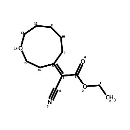 CCOC(=O)/C(C#N)=C1\CCCCCOCC1